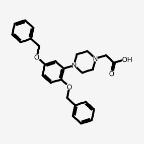 O=C(O)CN1CCN(c2cc(OCc3ccccc3)ccc2OCc2ccccc2)CC1